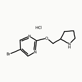 Brc1cnc(OCC2CCCN2)nc1.Cl